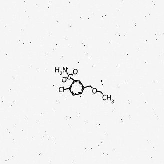 CCOCc1ccc(Cl)c(S(N)(=O)=O)c1